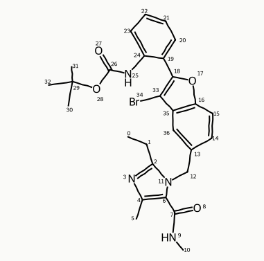 CCc1nc(C)c(C(=O)NC)n1Cc1ccc2oc(-c3ccccc3NC(=O)OC(C)(C)C)c(Br)c2c1